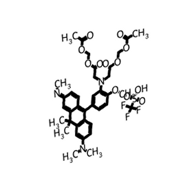 CN=C1C=CC2=C(c3ccc(OC)c(N(CC(=O)OCOC(C)=O)CC(=O)OCOC(C)=O)c3)c3ccc(N(C)C)cc3C(C)(C)C2=C1.O=S(=O)(O)C(F)(F)F